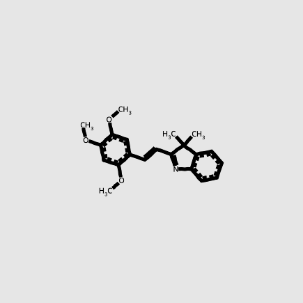 COc1cc(OC)c(OC)cc1C=CC1=Nc2ccccc2C1(C)C